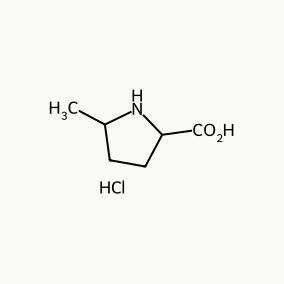 CC1CCC(C(=O)O)N1.Cl